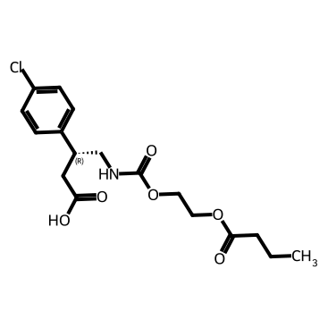 CCCC(=O)OCCOC(=O)NC[C@H](CC(=O)O)c1ccc(Cl)cc1